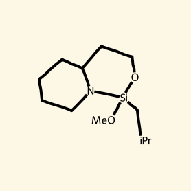 CO[Si]1(CC(C)C)OCCC2CCCCN21